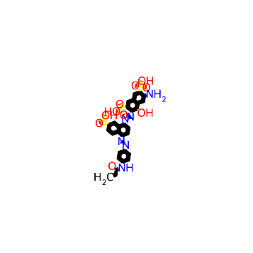 C=CC(=O)Nc1ccc(/N=N/c2ccc(/N=N/c3c(S(=O)(=O)O)cc4cc(S(=O)(=O)O)c(N)cc4c3O)c3cc(S(=O)O)ccc23)cc1